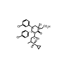 CC[C@@H](CN(C)S(=O)(=O)C1CC1)N1C(=O)[C@@](CC)(CC(=O)O)C[C@H](c2cccc(Cl)c2)[C@H]1c1ccc(Cl)cc1